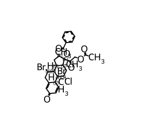 CC(=O)OCC(=O)[C@]1(OC(=O)c2ccccc2)[C@H](C)C[C@H]2[C@@H]3[C@H](Br)CC4=CC(=O)C=C[C@]4(C)[C@@]3(Br)[C@@H](Cl)C[C@@]21C